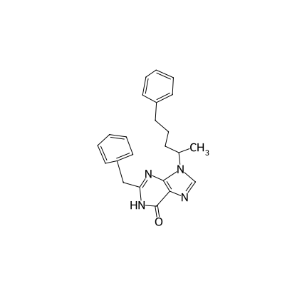 CC(CCCc1ccccc1)n1cnc2c(=O)[nH]c(Cc3ccccc3)nc21